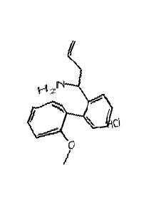 C=CCC(N)c1ccccc1-c1ccccc1OC.Cl